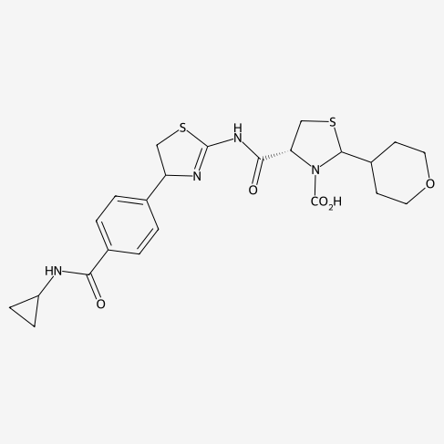 O=C(NC1CC1)c1ccc(C2CSC(NC(=O)[C@@H]3CSC(C4CCOCC4)N3C(=O)O)=N2)cc1